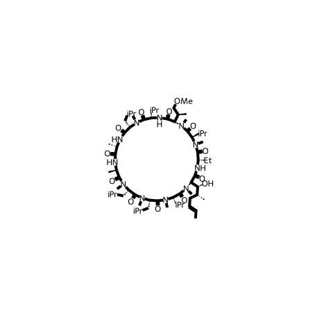 C/C=C/C[C@@H](C)[C@@H](O)[C@H]1C(=O)N[C@@H](CC)C(=O)N(C)[C@H](C(C)C)C(=O)N(C)[C@@H]([C@H](C)COC)C(=O)N[C@@H](C(C)C)C(=O)N(C)[C@@H](CC(C)C)C(=O)N[C@@H](C)C(=O)N[C@H](C)C(=O)N(C)[C@@H](CC(C)C)C(=O)N(C)[C@@H](CC(C)C)C(=O)N(C)[C@@H](C(C)C)C(=O)N1C